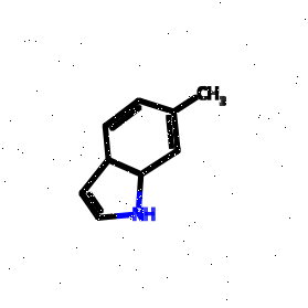 CC1=CC2NC=CC2C=C1